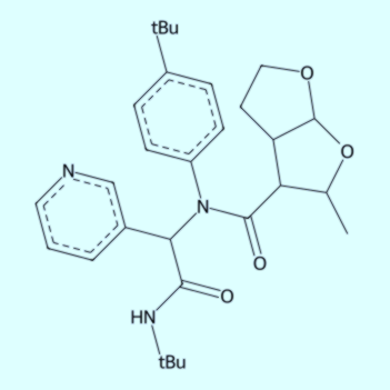 CC1OC2OCCC2C1C(=O)N(c1ccc(C(C)(C)C)cc1)C(C(=O)NC(C)(C)C)c1cccnc1